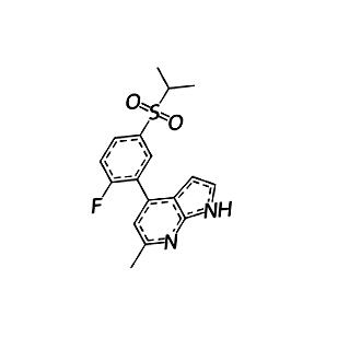 Cc1cc(-c2cc(S(=O)(=O)C(C)C)ccc2F)c2cc[nH]c2n1